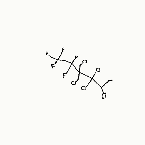 CC(Cl)C(Cl)(Cl)C(Cl)(Cl)C(F)(F)C(F)(F)F